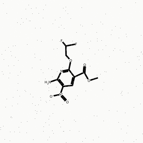 COC(=O)c1cc([N+](=O)[O-])c(N)nc1OCC(F)F